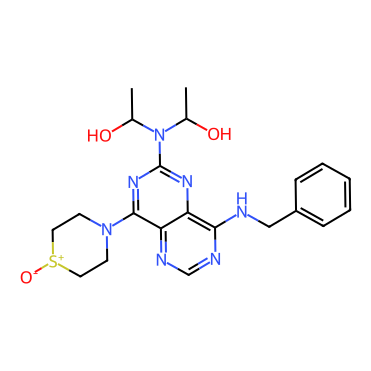 CC(O)N(c1nc(N2CC[S+]([O-])CC2)c2ncnc(NCc3ccccc3)c2n1)C(C)O